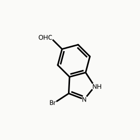 O=Cc1ccc2[nH]nc(Br)c2c1